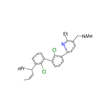 C/C=C\C(CCC)c1cccc(-c2cccc(-c3ccc(CNC)c(CC)n3)c2Cl)c1Cl